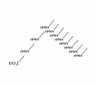 CCCCCCC.CCCCCCC.CCCCCCC.CCCCCCC.CCCCCCC.CCCCCCC.CCCCCCC.CCCCCCC.CCCCCCC.CCCCCCC.CCOC(C)=O